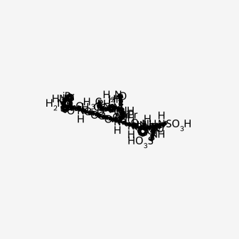 CPC(C)C(=O)OCc1ccc(NC(=O)[C@H](CCCNC(N)=O)NC(=O)[C@@H](NC(=O)[C@@H](CCCCNC(=O)COC2CCCCC/C(NCCN(CC(=O)NCCS(=O)(=O)O)CC(=O)NCCS(=O)(=O)O)=C\2NN)NC(=O)CCOCCOCCOCCOCCNC(=O)CCC(=O)N2Cc3ccccc3/C(NC(C)C)=C(/N)c3ccccc32)C(C)C)cc1